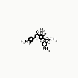 CC(=O)OC(c1c(F)c(N)c2c(=O)cc(-c3ccc(N)c(F)c3)oc2c1F)N1CCN(C)CC1